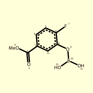 COC(=O)c1ccc(F)c(OB(O)O)c1